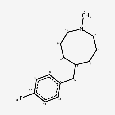 CN1CCCC(Cc2ccc(F)cc2)CCC1